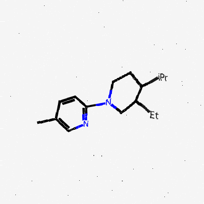 CCC1CN(c2ccc(C)cn2)CCC1C(C)C